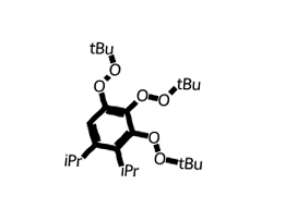 CC(C)c1cc(OOC(C)(C)C)c(OOC(C)(C)C)c(OOC(C)(C)C)c1C(C)C